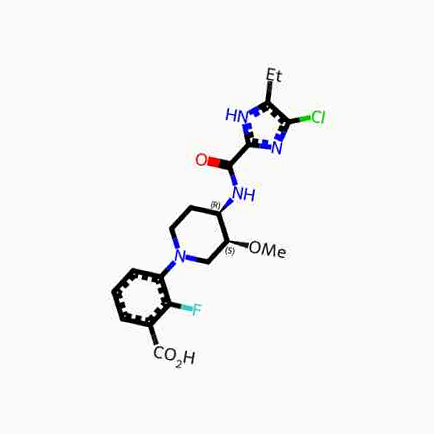 CCc1[nH]c(C(=O)N[C@@H]2CCN(c3cccc(C(=O)O)c3F)C[C@@H]2OC)nc1Cl